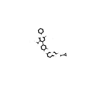 Cc1cc(-c2ccc(Oc3ccc4nc(NC(=O)C5CC5)cn4c3)c(F)c2)c(C(N)=O)c(=O)n1-c1ccccc1.Cl